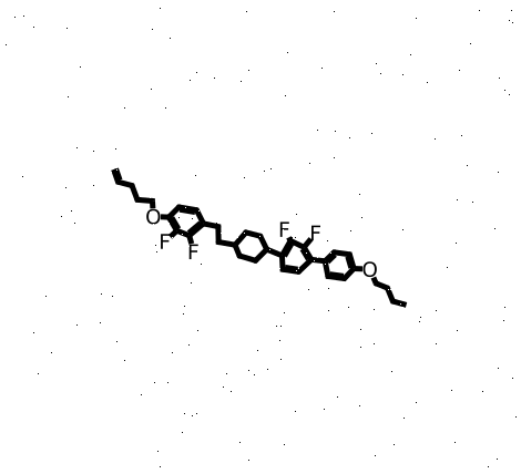 C=CCCCOc1ccc(CCC2CCC(c3ccc(-c4ccc(OCCCC)cc4)c(F)c3F)CC2)c(F)c1F